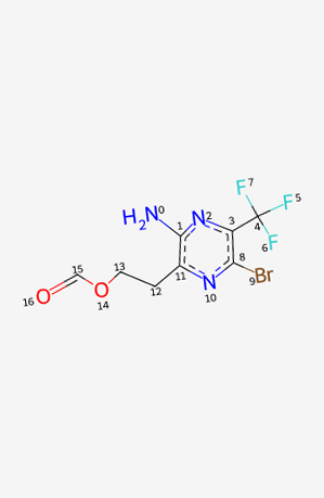 Nc1nc(C(F)(F)F)c(Br)nc1CCOC=O